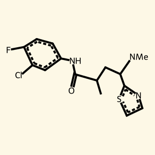 CNC(CC(C)C(=O)Nc1ccc(F)c(Cl)c1)c1nccs1